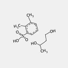 CC(O)CCO.Cc1cccc(S(=O)(=O)O)c1C